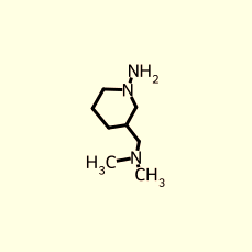 CN(C)CC1CCCN(N)C1